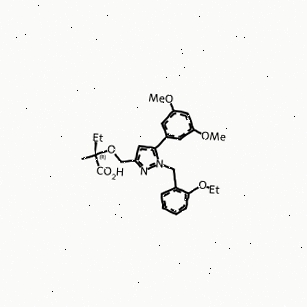 CCOc1ccccc1Cn1nc(CO[C@](C)(CC)C(=O)O)cc1-c1cc(OC)cc(OC)c1